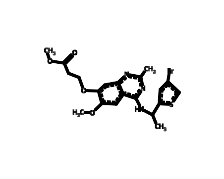 COC(=O)CCOc1cc2nc(C)nc(NC(C)c3cc(Br)cs3)c2cc1OC